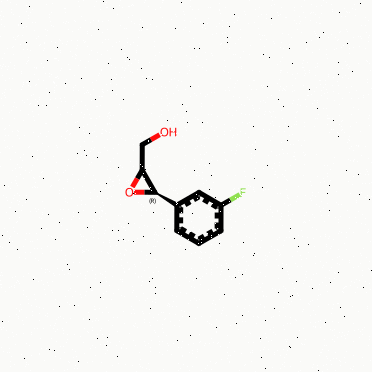 OCC1O[C@@H]1c1cccc(F)c1